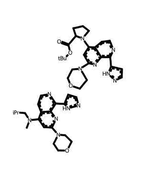 CC(C)(C)OC(=O)C1CCCN1c1cc(N2CCOCC2)nc2c(-c3ccn[nH]3)nccc12.CC(C)CN(C)c1cc(N2CCOCC2)nc2c(-c3ccn[nH]3)nccc12